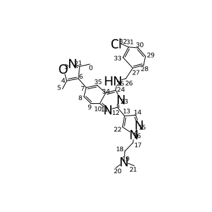 Cc1noc(C)c1-c1ccc2nc(-c3cnn(CCN(C)C)c3)nc(NCc3cccc(Cl)c3)c2c1